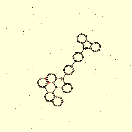 c1ccc(-c2ccc3ccccc3c2B2c3ccccc3N(c3ccc(-c4ccc(-n5c6ccccc6c6ccccc65)cc4)cc3)c3ccccc32)cc1